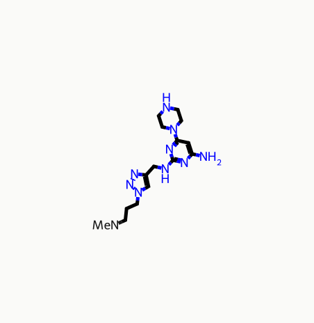 CNCCCn1cc(CNc2nc(N)cc(N3CCNCC3)n2)nn1